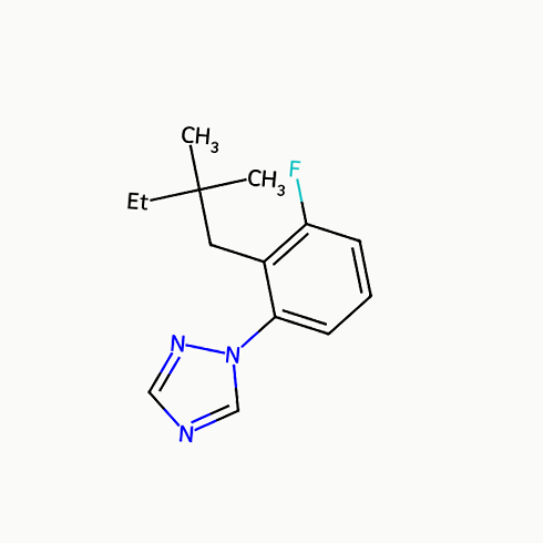 CCC(C)(C)Cc1c(F)cccc1-n1cncn1